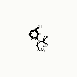 CCC(=O)N(CC(=O)O)c1cccc(O)c1